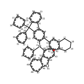 c1ccc(N(c2cc3c(cc2-c2ccc4c(c2)CCCC4)-c2ccccc2C3(c2ccccc2)c2ccccc2)c2cccc3oc4ccccc4c23)cc1